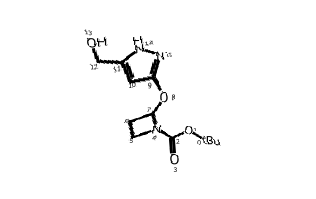 CC(C)(C)OC(=O)N1CCC1Oc1cc(CO)[nH]n1